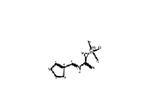 C=C(/N=C/C1=CCCC1)O[Si](C)(C)C